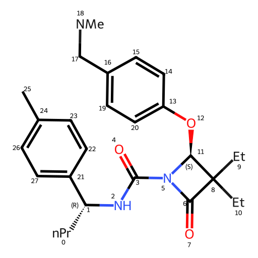 CCC[C@@H](NC(=O)N1C(=O)C(CC)(CC)[C@@H]1Oc1ccc(CNC)cc1)c1ccc(C)cc1